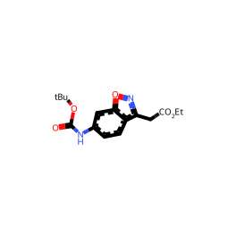 CCOC(=O)Cc1noc2cc(NC(=O)OC(C)(C)C)ccc12